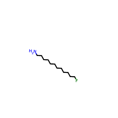 NCCCCCCCCCCCCF